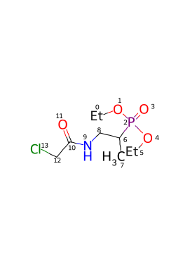 CCOP(=O)(OCC)C(C)CNC(=O)CCl